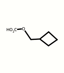 O=C(O)OCC1CCC1